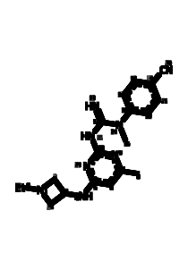 CCN1CC(Nc2cc(C)nc(NC(=N)N(C)c3ccc(C#N)cc3)n2)C1